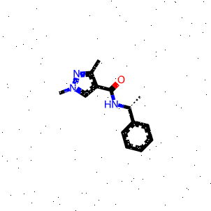 Cc1nn(C)cc1C(=O)N[C@H](C)c1ccccc1